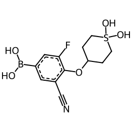 N#Cc1cc(B(O)O)cc(F)c1OC1CCS(O)(O)CC1